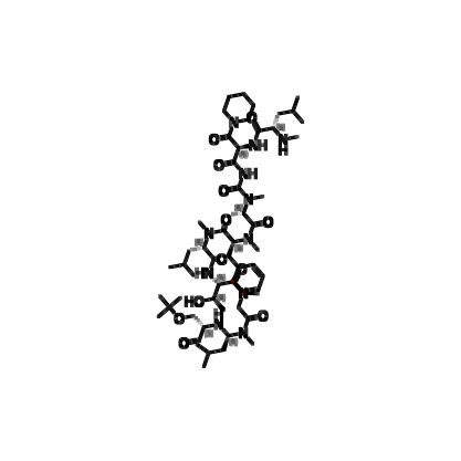 CN[C@@H](CC(C)C)C(=O)N[C@@H](C(=O)NC(=O)N(C)[C@@H](C)C(=O)N(C)[C@@H](Cc1ccccc1)C(=O)N(C)[C@@H](CC(C)C)C(=O)N[C@H](C(=O)N(C)CC(=O)N(C)[C@@H](CC(C)C)N[C@H](C=O)COC(C)(C)C)[C@@H](C)O)C(=O)N1CCCCC1